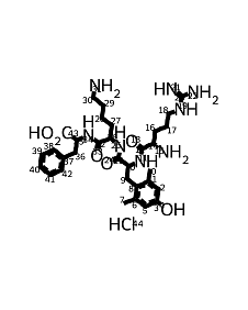 Cc1cc(O)cc(C)c1CC(NC(=O)[C@H](N)CCCNC(=N)N)C(=O)NC(CCCCN)C(=O)NC(Cc1ccccc1)C(=O)O.Cl